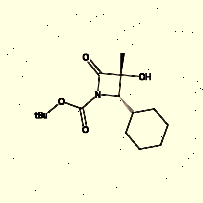 CC(C)(C)OC(=O)N1C(=O)[C@](C)(O)[C@@H]1C1CCCCC1